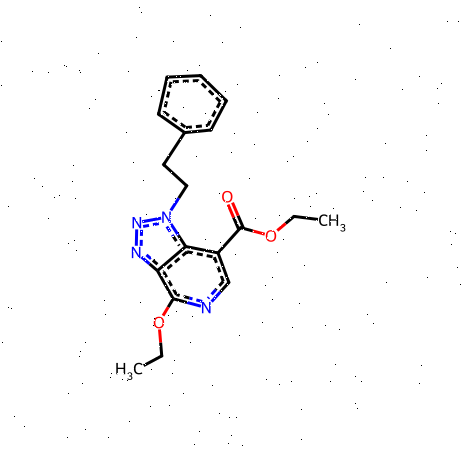 CCOC(=O)c1cnc(OCC)c2nnn(CCc3ccccc3)c12